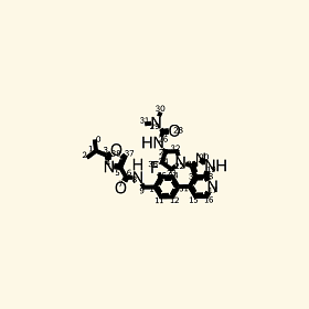 CC(C)c1nc(C(=O)NCc2ccc(-c3ccnc4[nH]nc(N5CC[C@@H](NC(=O)N(C)C)C5)c34)cc2F)co1